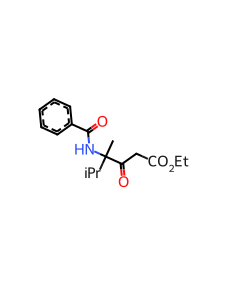 CCOC(=O)CC(=O)C(C)(NC(=O)c1ccccc1)C(C)C